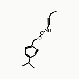 CCC#CNOOCc1ccc(C(C)C)cc1